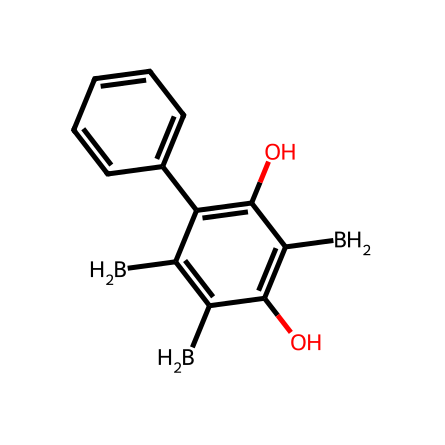 Bc1c(B)c(-c2ccccc2)c(O)c(B)c1O